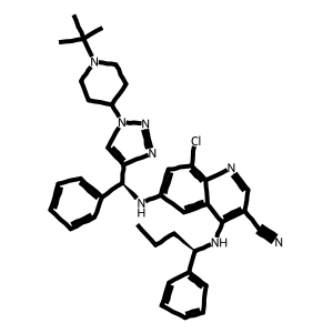 CCC[C@@H](Nc1c(C#N)cnc2c(Cl)cc(N[C@@H](c3ccccc3)c3cn(C4CCN(C(C)(C)C)CC4)nn3)cc12)c1ccccc1